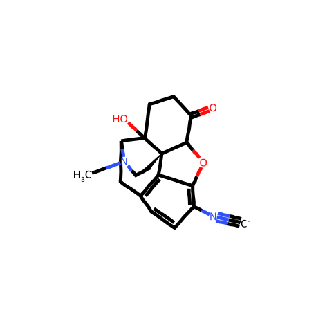 [C-]#[N+]c1ccc2c3c1OC1C(=O)CCC4(O)C(C2)N(C)CC[C@]314